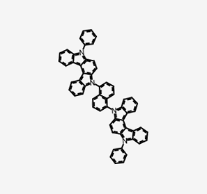 c1ccc(-n2c3ccccc3c3c4c5ccccc5n(-c5cccc6c(-n7c8ccccc8c8c9c%10ccccc%10n(-c%10ccccc%10)c9ccc87)cccc56)c4ccc32)cc1